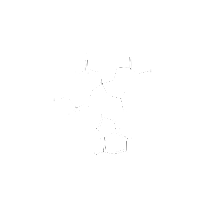 CC(C)OC(=O)OCC(COC(=O)OC(C)C)(OC(C)Cn1cnc2c(N)ncnc21)O[PH](=O)O